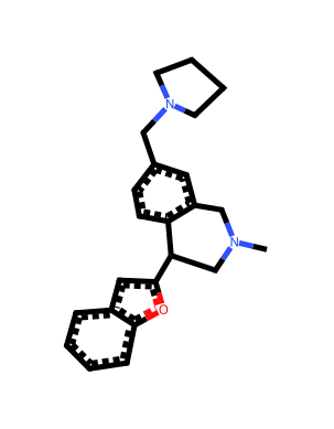 CN1Cc2cc(CN3CCCC3)ccc2C(c2cc3ccccc3o2)C1